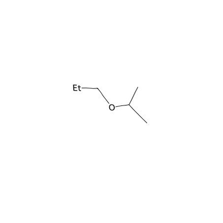 [CH]CCOC(C)C